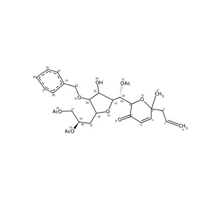 C=CCC1(C)C=CC(=O)C([C@@H](OC(C)=O)C2OC(C[C@H](COC(C)=O)OC(C)=O)C(OCc3ccccc3)C2O)O1